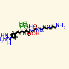 Cl.Cl.Cl.N=C(N)Nc1ccc(CCCCCC(=O)NC(O)C(=O)NCCCCNCCCN)cc1